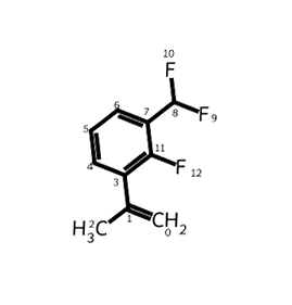 C=C(C)c1cccc(C(F)F)c1F